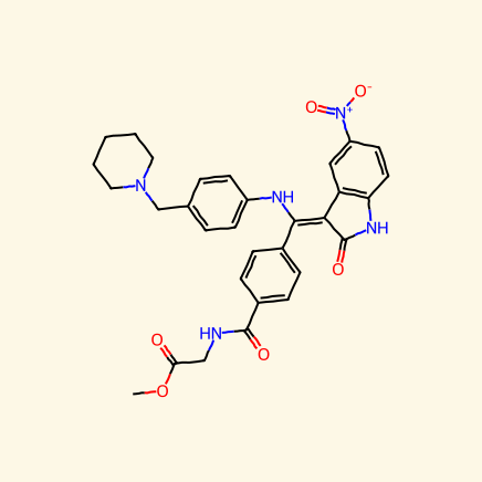 COC(=O)CNC(=O)c1ccc(C(Nc2ccc(CN3CCCCC3)cc2)=C2C(=O)Nc3ccc([N+](=O)[O-])cc32)cc1